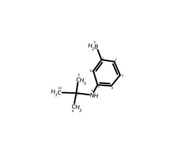 Bc1cccc(NC(C)(C)C)c1